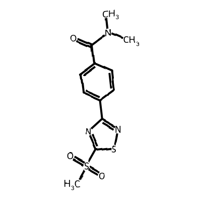 CN(C)C(=O)c1ccc(-c2nsc(S(C)(=O)=O)n2)cc1